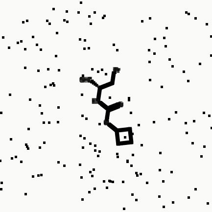 CC(C)C[C@@H](C=O)NC(=O)OC1CCC1